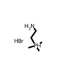 Br.C[PH](C)(C)CCN